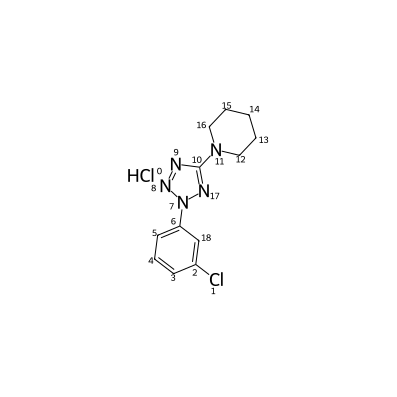 Cl.Clc1cccc(-n2nnc(N3CCCCC3)n2)c1